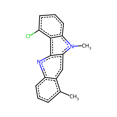 Cc1cccc2nc3c4c(Cl)cccc4n(C)c3cc12